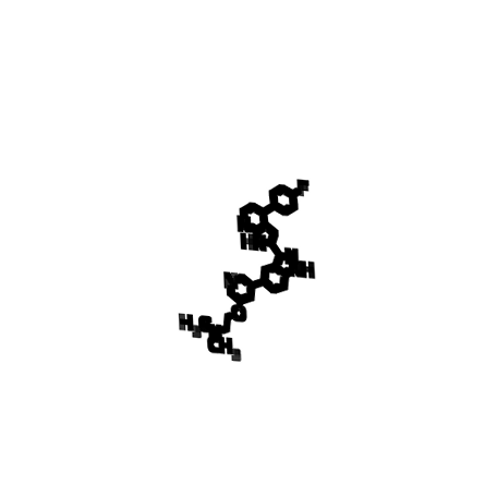 CN(C)CCOc1cncc(-c2ccc3[nH]nc(-c4cc5c(-c6ccc(F)cc6)ccnc5[nH]4)c3c2)c1